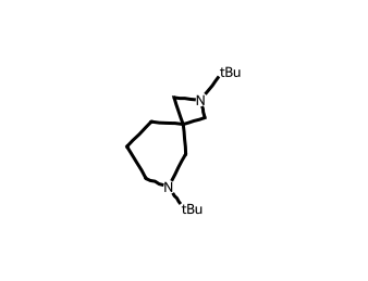 CC(C)(C)N1CCCC2(C1)CN(C(C)(C)C)C2